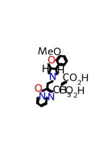 COc1cccc2c1OC[C@@H]1CN(CCc3c(C)nc4ccccn4c3=O)C[C@H]21.O=C(O)/C=C/C(=O)O